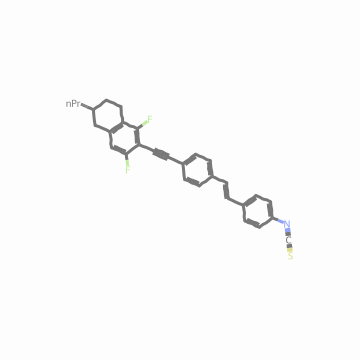 CCCC1CCc2c(cc(F)c(C#Cc3ccc(/C=C/c4ccc(N=C=S)cc4)cc3)c2F)C1